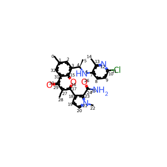 Cc1cc([C@@H](C)Nc2ccc(Cl)nc2C)c2oc(-c3ccn(C)c3C(N)=O)c(C)c(=O)c2c1